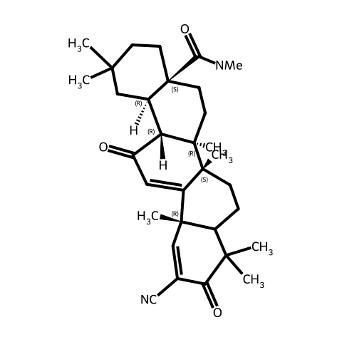 CNC(=O)[C@]12CCC(C)(C)C[C@@H]1[C@H]1C(=O)C=C3[C@@]4(C)C=C(C#N)C(=O)C(C)(C)C4CC[C@@]3(C)[C@]1(C)CC2